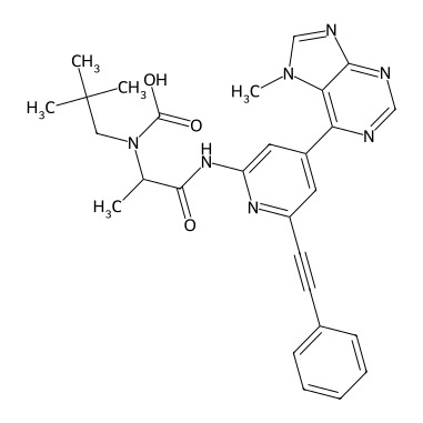 CC(C(=O)Nc1cc(-c2ncnc3ncn(C)c23)cc(C#Cc2ccccc2)n1)N(CC(C)(C)C)C(=O)O